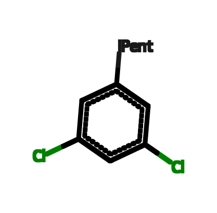 CCCC(C)c1cc(Cl)cc(Cl)c1